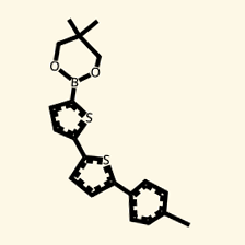 Cc1ccc(-c2ccc(-c3ccc(B4OCC(C)(C)CO4)s3)s2)cc1